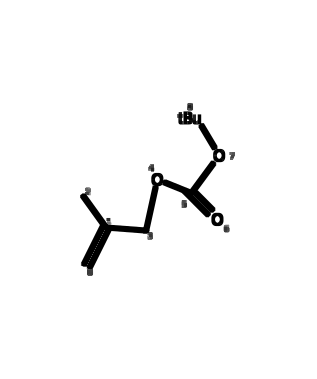 C=C(C)COC(=O)OC(C)(C)C